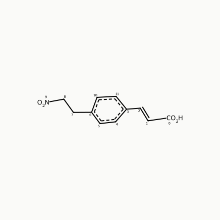 O=C(O)C=Cc1ccc(CC[N+](=O)[O-])cc1